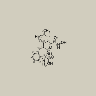 CC(C)C[C@H](CC(=O)NO)C(=O)[C@@H]1Cc2ccccc2[C@](N)(C(=O)O)NC1=O